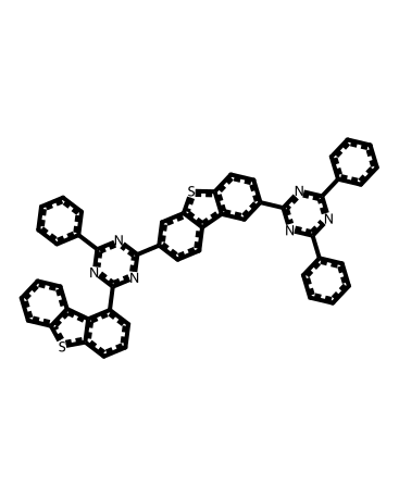 c1ccc(-c2nc(-c3ccccc3)nc(-c3ccc4sc5cc(-c6nc(-c7ccccc7)nc(-c7cccc8sc9ccccc9c78)n6)ccc5c4c3)n2)cc1